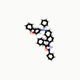 c1ccc(-c2nc3c4ccc5ccc(N(c6ccccc6)c6ccc7oc8ccccc8c7c6)cc5c4c4ccccc4c3o2)cc1